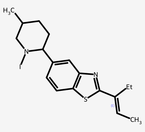 C/C=C(\CC)c1nc2cc(C3CCC(C)CN3I)ccc2s1